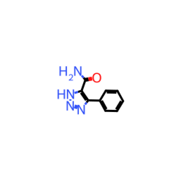 NC(=O)c1[nH]nnc1-c1ccccc1